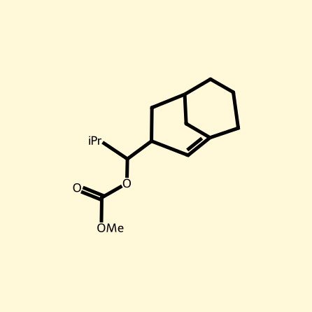 COC(=O)OC(C(C)C)C1C=C2CCCC(C2)C1